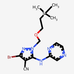 C[Si](C)(C)CCOCn1nc(Br)c(C#N)c1Nc1cnccn1